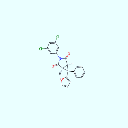 C[C@@]12C(=O)N(c3cc(Cl)cc(Cl)c3)C(=O)[C@@H]1[C@@]2(c1ccccc1)c1ccco1